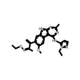 C=C(/C(C)=N\OCC)c1cc2[nH]c3nc(C)nc(Nc4ccnn4CC)c3c2cc1OC